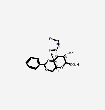 CC/N=N\N(F)[C@H]1[C@H]2OC(c3ccccc3)OC[C@H]2OC(C(=O)O)[C@@H]1OC